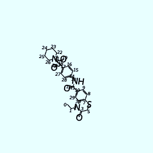 CCN1C(=O)CSc2ccc(C(=O)Nc3ccc(S(=O)(=O)N4CCCCC4)cc3)cc21